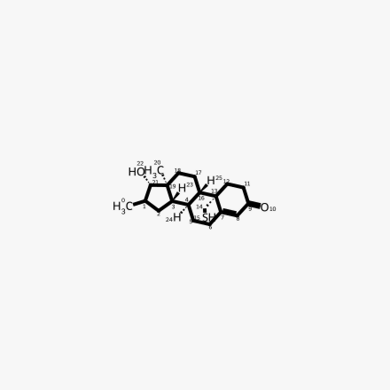 CC1C[C@H]2[C@@H]3CCC4=CC(=O)CC[C@]4(CS)[C@H]3CC[C@]2(C)[C@H]1O